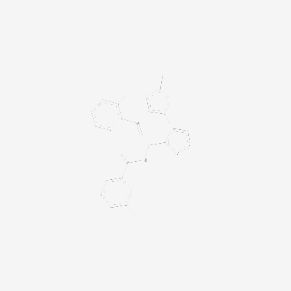 CCc1cc(C(=O)c2ccccc2Cl)c(-n2c(C)nnc2CNC(=O)c2cccc(Cl)c2)s1